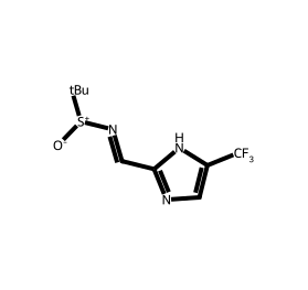 CC(C)(C)[S+]([O-])N=Cc1ncc(C(F)(F)F)[nH]1